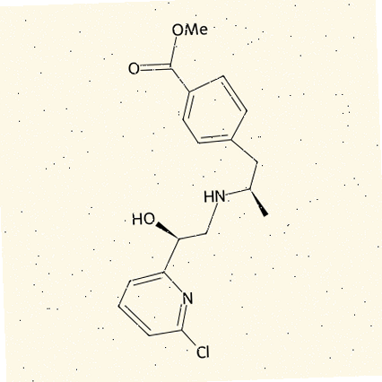 COC(=O)c1ccc(C[C@@H](C)NC[C@H](O)c2cccc(Cl)n2)cc1